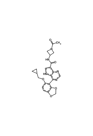 CC(=O)N1CC(NC(=O)c2c[nH]c3c(-c4c(OCC5CC5)ccc5c4OCO5)ncnc23)C1